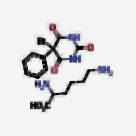 CCC1(c2ccccc2)C(=O)NC(=O)NC1=O.NCCCCC(N)C(=O)O